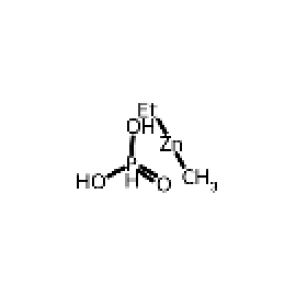 C[CH2][Zn][CH3].O=[PH](O)O